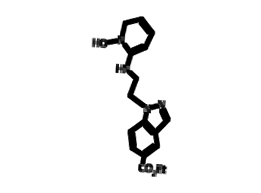 CCOC(=O)c1ccc2c(cnn2CCNC2=CC=CCN2O)c1